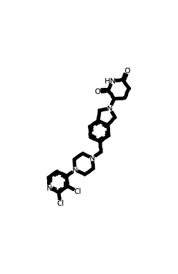 O=C1CCC(N2Cc3ccc(CN4CCN(c5ccnc(Cl)c5Cl)CC4)cc3C2)C(=O)N1